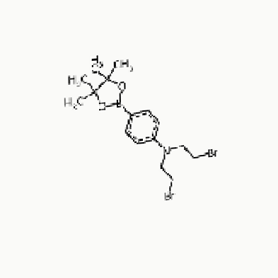 CC1(C)OB(c2ccc(N(CCBr)CCBr)cc2)OC1(C)C